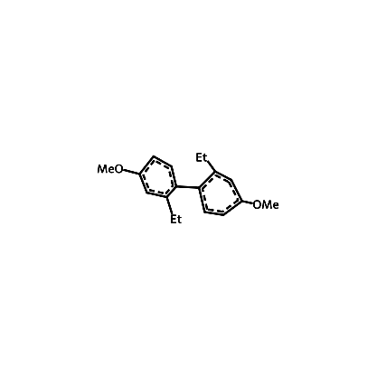 CCc1cc(OC)ccc1-c1ccc(OC)cc1CC